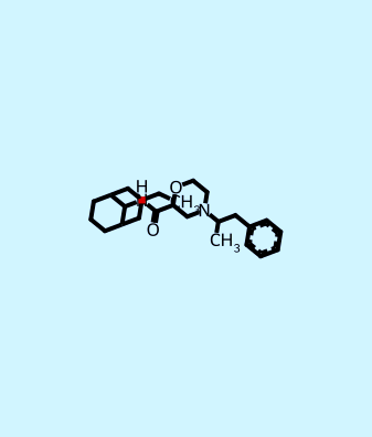 CCC1CC2CCCC(C1)C2NC(=O)C1CN(C(C)Cc2ccccc2)CCO1